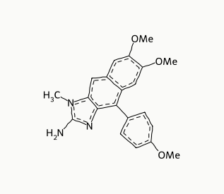 COc1ccc(-c2c3cc(OC)c(OC)cc3cc3c2nc(N)n3C)cc1